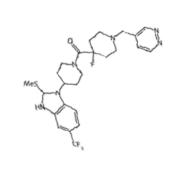 CSC1Nc2cc(C(F)(F)F)ccc2N1C1CCN(C(=O)C2(F)CCN(Cc3ccnnc3)CC2)CC1